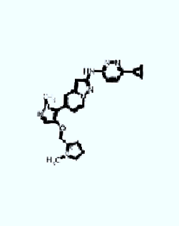 CN1CCC[C@@H]1COc1cnn(C)c1-c1ccn2nc(Nc3ccc(C4CC4)nn3)cc2c1